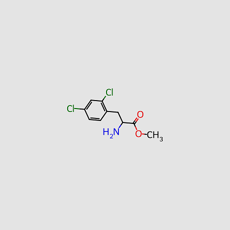 COC(=O)C(N)Cc1ccc(Cl)cc1Cl